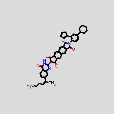 CCC/C=C(/C)c1ccc2c(=O)[nH]c(C3C(=O)c4cc5cc6c(cc5cc4C3=O)C(=O)N(c3ccc(C4CCCCC4)cc3C3=CC=CC3)C6=O)nc2c1